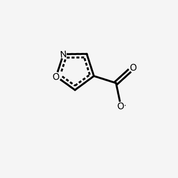 [O]C(=O)c1cnoc1